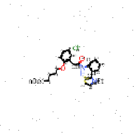 CCCCCCCCCCCCCCOc1ccccc1CC(=O)Nc1ccccc1-c1scc[n+]1CC.[Cl-]